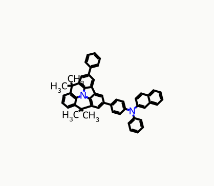 CC1(C)c2cccc3c2-n2c4c1cc(-c1ccccc1)cc4c1cc(-c4ccc(N(c5ccccc5)c5ccc6ccccc6c5)cc4)cc(c12)C3(C)C